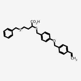 C=Cc1ccc(COc2ccc(CSC(CCSCc3ccccc3)C(=O)O)cc2)cc1